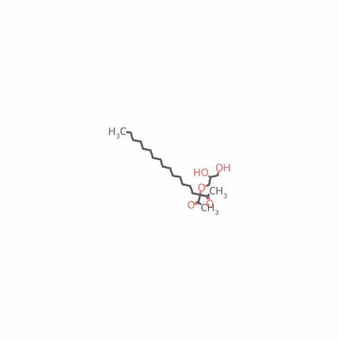 CCCCCCCCCCCCCCCC(OCC(O)CO)(C(C)=O)C(C)=O